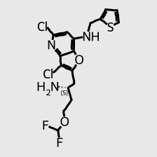 N[C@@H](CCOC(F)F)Cc1oc2c(NCc3cccs3)cc(Cl)nc2c1Cl